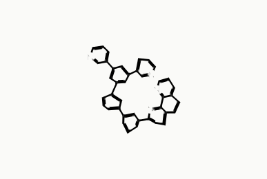 c1cncc(-c2cc(-c3cccnc3)cc(-c3cccc(-c4cccc(-c5ccc6ccc7cccnc7c6n5)c4)c3)c2)c1